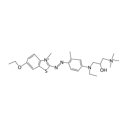 CCOc1ccc2c(c1)sc(/N=N/c1ccc(N(CC)CC(O)C[N+](C)(C)C)cc1C)[n+]2C